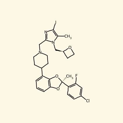 Cc1c(I)nc(CN2CCC(c3cccc4c3O[C@@](C)(c3ccc(Cl)cc3F)O4)CC2)n1C[C@@H]1CCO1